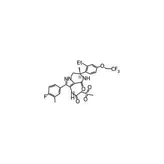 CCc1cc(OCC(F)(F)F)ccc1[C@@]1(C)Cn2nc(-c3ccc(F)c(C)c3)c(NC(=O)CS(C)(=O)=O)c2C(=O)N1